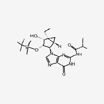 CC[C@]12C[C@@H]1[C@@H](n1cnc3c(=O)[nH]c(NC(=O)C(C)C)nc31)[C@H](O[Si](C)(C)C(C)(C)C)[C@@H]2O